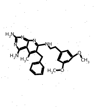 COc1cc(CCNc2nc3nc(N)nc(N)c3c(C)c2Cc2ccccc2)cc(OC)c1